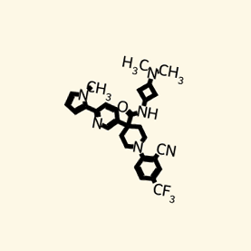 CN(C)C1CC(NC(=O)C2(c3ccc(-c4cccn4C)nc3)CCN(c3ccc(C(F)(F)F)cc3C#N)CC2)C1